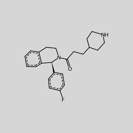 O=C(CCC1CCNCC1)N1CCc2ccccc2[C@@H]1c1ccc(F)cc1